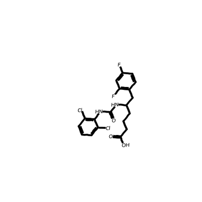 O=C(O)CCCC(Cc1ccc(F)cc1F)NC(=O)Nc1c(Cl)cccc1Cl